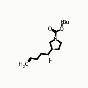 C=CCC[C@@H](F)[C@@H]1CCN(C(=O)OC(C)(C)C)C1